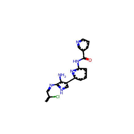 C=C(Cl)/C=N\c1[nH]cc(-c2cccc(NC(=O)c3cccnc3)n2)c1N